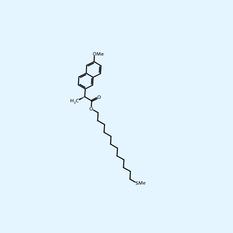 COc1ccc2cc([C@H](C)C(=O)OCCCCCCCCCCCCSC)ccc2c1